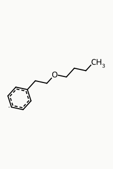 CCCCOCCc1cc[c]cc1